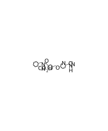 O=C(NCc1ccccc1C(=O)O)c1cccc(COc2ccc(-c3ccn[nH]3)nc2)c1